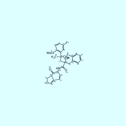 COc1ccc(F)cc1C(C)(C)CC(O)(Cc1ccccc1F)C(=O)NC1C=CC2=COCC2C1=O